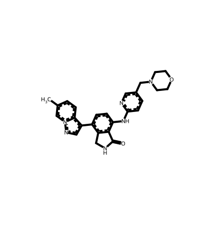 Cc1ccc2c(-c3ccc(Nc4ccc(CN5CCOCC5)cn4)c4c3CNC4=O)cnn2c1